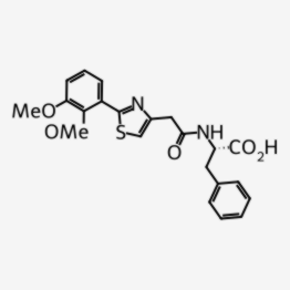 COc1cccc(-c2nc(CC(=O)N[C@@H](Cc3ccccc3)C(=O)O)cs2)c1OC